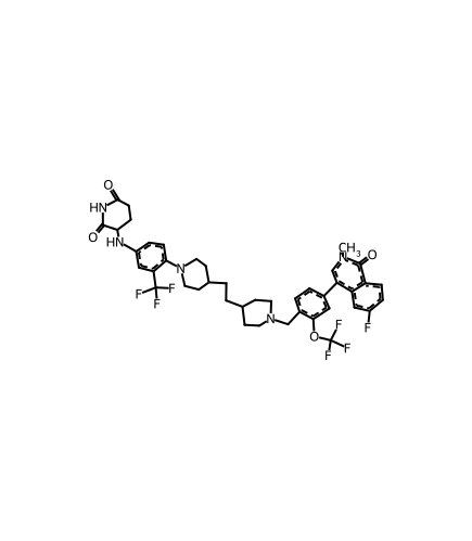 Cn1cc(-c2ccc(CN3CCC(CCC4CCN(c5ccc(NC6CCC(=O)NC6=O)cc5C(F)(F)F)CC4)CC3)c(OC(F)(F)F)c2)c2cc(F)ccc2c1=O